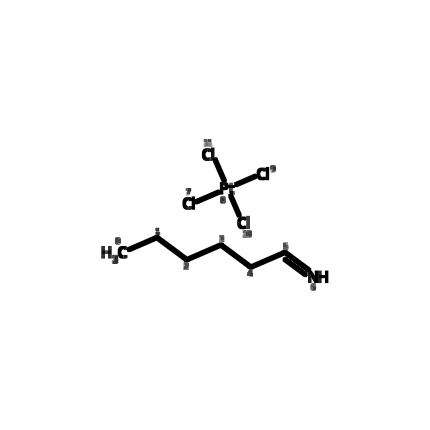 CCCCCC=N.[Cl][Pt]([Cl])([Cl])[Cl]